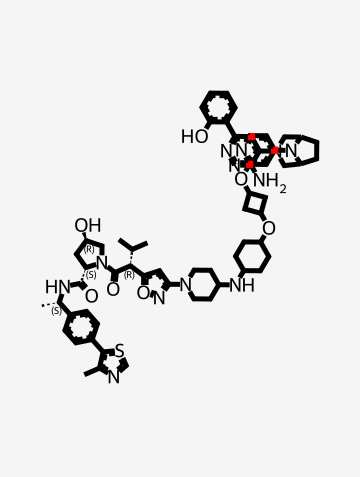 Cc1ncsc1-c1ccc([C@H](C)NC(=O)[C@@H]2C[C@@H](O)CN2C(=O)[C@@H](c2cc(N3CCC(NC4CCC(OC5CC(Oc6cc(N7C8CCC7CN(c7cc(-c9ccccc9O)nnc7N)C8)ccn6)C5)CC4)CC3)no2)C(C)C)cc1